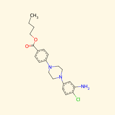 CCCCOC(=O)c1ccc(N2CCN(c3ccc(Cl)c(N)c3)CC2)cc1